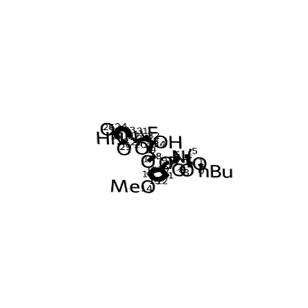 CCCCOC(=O)[C@H](C)/N=[P+](\[O-])Oc1ccc(OC)cc1OC[C@H]1O[C@@H](n2ccc(=O)[nH]c2=O)[C@](C)(F)[C@@H]1O